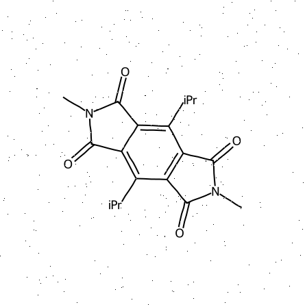 CC(C)c1c2c(=O)n(C)c(=O)c2c(C(C)C)c2c(=O)n(C)c(=O)c12